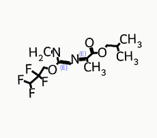 C=N/C(=C\N=C(/C)C(=O)OCC(C)C)OCC(F)(F)C(F)F